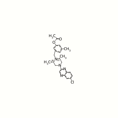 CC(=O)Oc1cc(C)cc(CN2[C@H](C)CN(c3cnc4cc(Cl)ccc4n3)C[C@@H]2C)c1